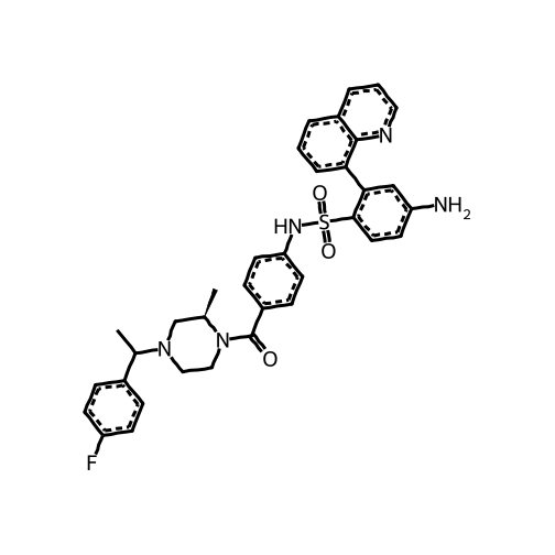 CC(c1ccc(F)cc1)N1CCN(C(=O)c2ccc(NS(=O)(=O)c3ccc(N)cc3-c3cccc4cccnc34)cc2)[C@H](C)C1